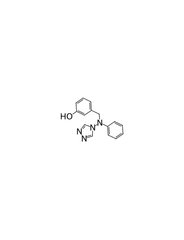 Oc1cccc(CN(c2ccccc2)n2cnnc2)c1